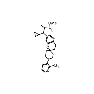 COC(=O)C(C)C(c1ccc2c(c1)OC1(CC2)CCN(c2cccnc2C(F)(F)F)CC1)C1CC1